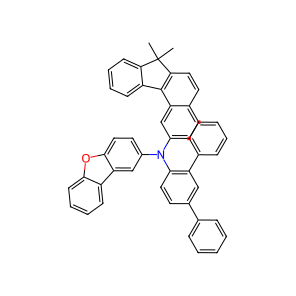 CC1(C)c2ccccc2-c2c1ccc1ccc(N(c3ccc4oc5ccccc5c4c3)c3ccc(-c4ccccc4)cc3-c3ccccc3)cc21